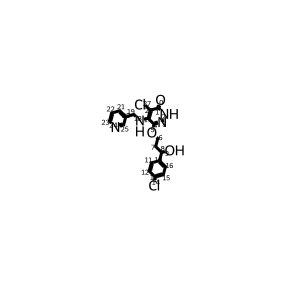 O=c1[nH]nc(OCCC(O)c2ccc(Cl)cc2)c(NCc2cccnc2)c1Cl